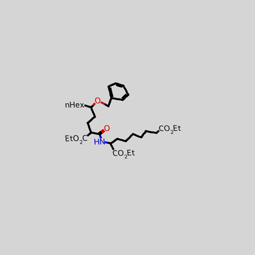 CCCCCCC(CCC(C(=O)NC(CCCCCCC(=O)OCC)C(=O)OCC)C(=O)OCC)OCc1ccccc1